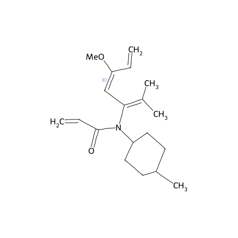 C=CC(=O)N(C(/C=C(\C=C)OC)=C(C)C)C1CCC(C)CC1